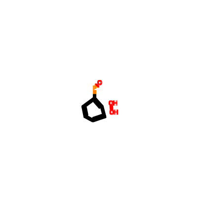 O=Pc1ccccc1.OO